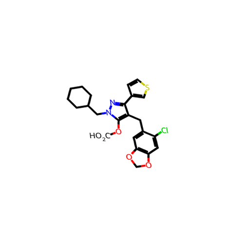 O=C(O)Oc1c(Cc2cc3c(cc2Cl)OCO3)c(-c2ccsc2)nn1CC1CCCCC1